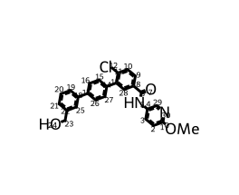 COc1ccc(NC(=O)c2ccc(Cl)c(-c3ccc(-c4cccc(CO)c4)cc3)c2)cn1